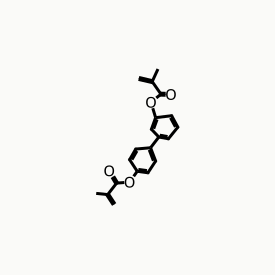 C=C(C)C(=O)Oc1ccc(-c2cccc(OC(=O)C(=C)C)c2)cc1